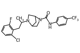 CC(Cc1c(F)cccc1Cl)N1CC2CC1CN2C(=O)Nc1ccc(C(F)(F)F)cc1